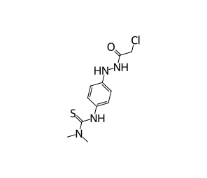 CN(C)C(=S)Nc1ccc(NNC(=O)CCl)cc1